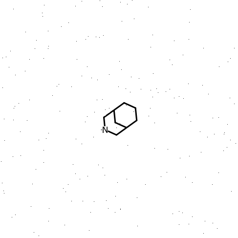 C1CC2C[N]CC(C1)C2